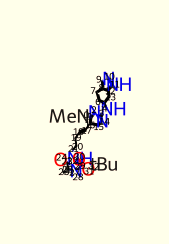 CNc1nc(Nc2ccc3cn[nH]c3c2)ncc1C#CCCCNC(=O)[C@H](C)N(C)C(=O)OC(C)(C)C